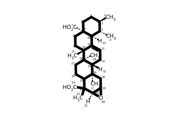 C[C@H]1[C@H](C)CC[C@]2(C(=O)O)CC[C@]3(C)C(=CC[C@@H]4[C@@]5(C)CC6O[C@H]6C(C)(C(=O)O)C5CC[C@]43C)[C@H]12